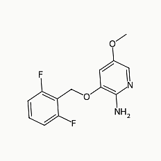 COc1cnc(N)c(OCc2c(F)cccc2F)c1